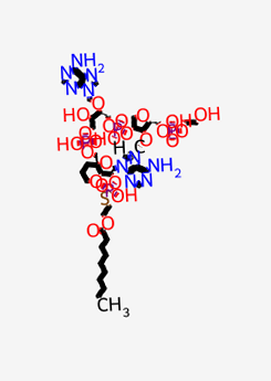 CCCCCCCCCC(=O)OCCSP(=O)(O)OCC1OCCC[C@]1(COP(=O)(O)OCC(O)[C@@H](COP(=O)(O)OC1CO[C@H](COP(=O)(O)OCCO)C1OC)OCn1cnc2c(N)ncnc21)OCn1cnc2c(N)ncnc21